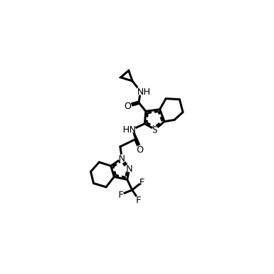 O=C(Cn1nc(C(F)(F)F)c2c1CCCC2)Nc1sc2c(c1C(=O)NC1CC1)CCCC2